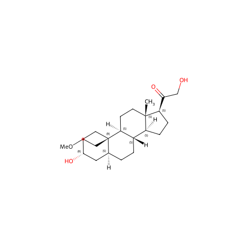 COCC[C@]12CC[C@@H](O)C[C@@H]1CC[C@H]1[C@@H]3CC[C@H](C(=O)CO)[C@@]3(C)CC[C@@H]12